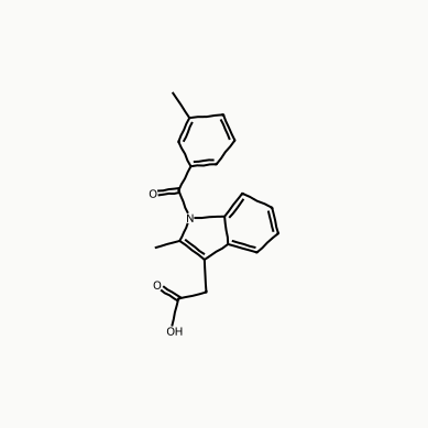 Cc1cccc(C(=O)n2c(C)c(CC(=O)O)c3ccccc32)c1